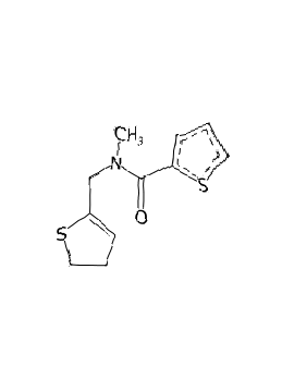 CN(CC1=CCCS1)C(=O)c1cccs1